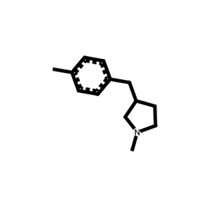 Cc1ccc(CC2CCN(C)C2)cc1